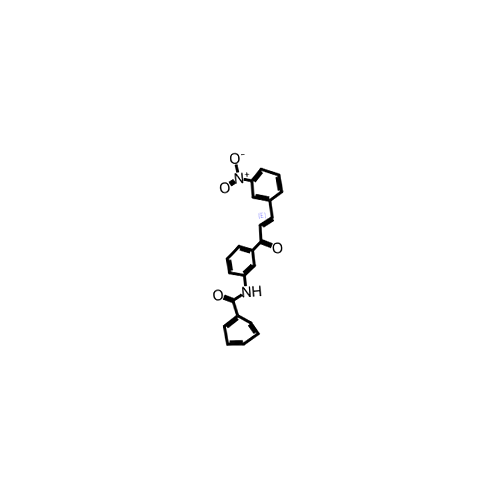 O=C(/C=C/c1cccc([N+](=O)[O-])c1)c1cccc(NC(=O)c2ccccc2)c1